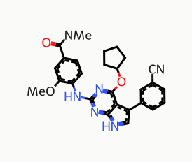 CNC(=O)c1ccc(Nc2nc(OC3CCCC3)c3c(-c4cccc(C#N)c4)c[nH]c3n2)c(OC)c1